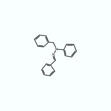 C(=N\N(Cc1ccccc1)c1ccccc1)/c1ccccc1